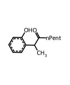 CCCCCC(=O)C(C)c1ccccc1O